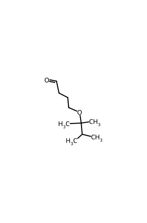 CC(C)C(C)(C)OCCCC=O